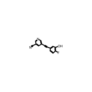 N#Cc1cncc(C#Cc2ccc(F)c(O)c2)c1